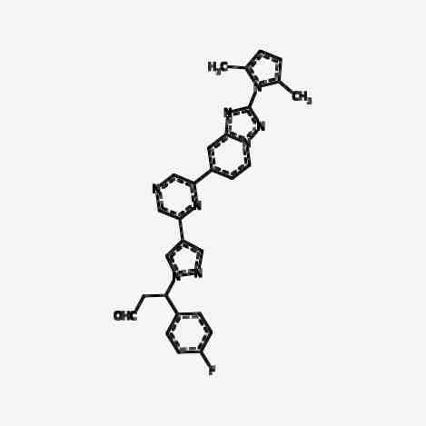 Cc1ccc(C)n1-c1nc2cc(-c3cncc(-c4cnn(C(CC=O)c5ccc(F)cc5)c4)n3)ccn2n1